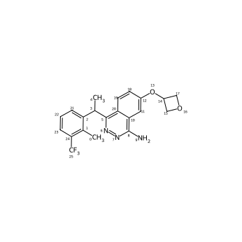 Cc1c(C(C)c2nnc(N)c3cc(OC4COC4)ccc23)cccc1C(F)(F)F